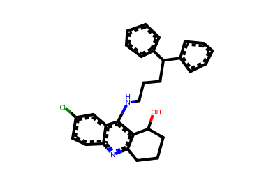 OC1CCCc2nc3ccc(Cl)cc3c(NCCCC(c3ccccc3)c3ccccc3)c21